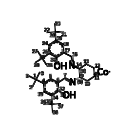 CC(C)(C)c1cc(C=N[C@H]2CCCC[C@@H]2N=Cc2cc(C(C)(C)C)cc(C(C)(C)C)c2O)c(O)c(C(C)(C)C)c1.[Co]